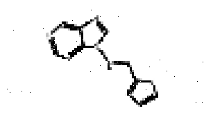 c1coc(CNn2cnc3cncnc32)c1